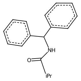 CC(C)C(=O)NC(c1ccccc1)c1ccccc1